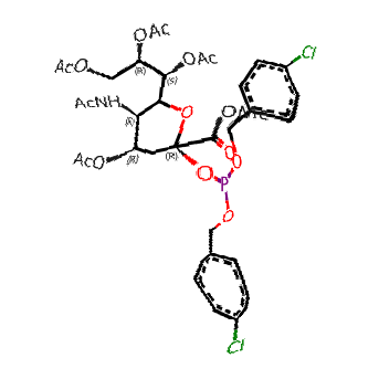 COC(=O)[C@]1(OP(OCc2ccc(Cl)cc2)OCc2ccc(Cl)cc2)C[C@@H](OC(C)=O)[C@@H](NC(C)=O)C([C@H](OC(C)=O)[C@@H](COC(C)=O)OC(C)=O)O1